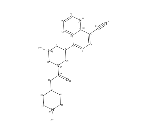 C[C@@H]1CC(c2ccc(C#N)c3ncccc23)CN(C(=O)CC2CCN(C)CC2)C1